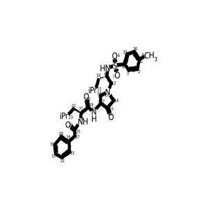 Cc1ccc(S(=O)(=O)N[C@@H](CC(C)C)CN2CC(=O)C(NC(=O)[C@H](CC(C)C)NC(=O)Cc3ccccc3)C2)cc1